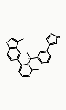 Cc1coc2ccc(C3=CC=NC(C)N3[C@@H](C)c3cccc(-c4cn[nH]c4)c3)cc12